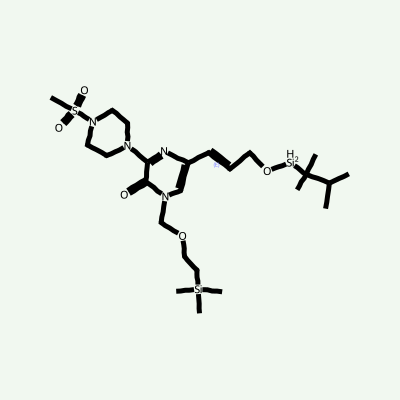 CC(C)C(C)(C)[SiH2]OC/C=C/c1cn(COCC[Si](C)(C)C)c(=O)c(N2CCN(S(C)(=O)=O)CC2)n1